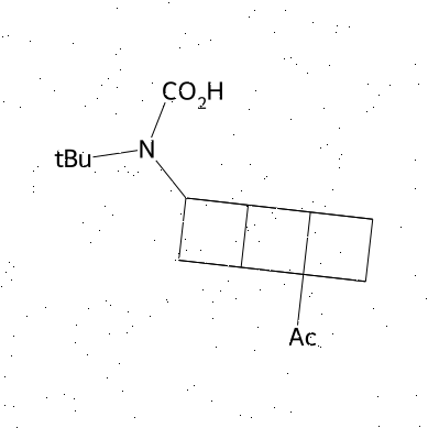 CC(=O)C12C3C4C1C1C2C3C41N(C(=O)O)C(C)(C)C